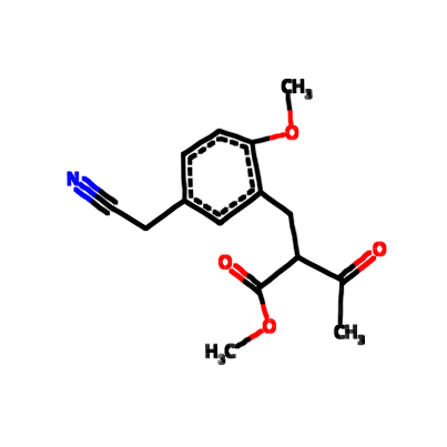 COC(=O)C(Cc1cc(CC#N)ccc1OC)C(C)=O